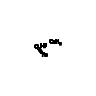 F.[CaH2].[O]=[Fe]